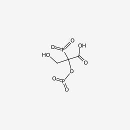 O=C(O)C(CO)(OP(=O)=O)P(=O)=O